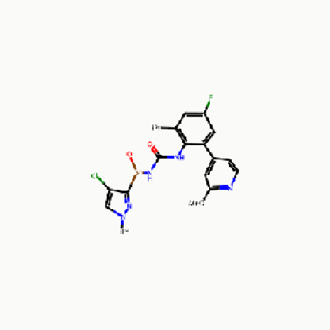 COc1cc(-c2cc(F)cc(C(C)C)c2NC(=O)N[S+]([O-])c2nn(C(C)C)cc2Cl)ccn1